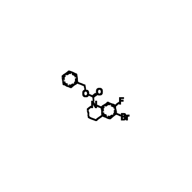 O=C(OCc1ccccc1)N1CCCc2cc(Br)c(F)cc21